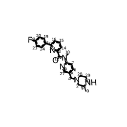 C[C@H]1CN(Cc2ccc(N(C)C(=O)c3cccc(-c4ccc(F)cc4)n3)nc2)CCN1